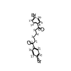 O=C(CCCCC(=O)c1ccc(Br)cc1)c1ccc(Br)cc1